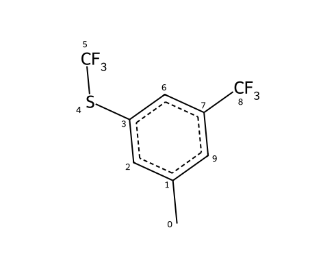 Cc1cc(SC(F)(F)F)cc(C(F)(F)F)c1